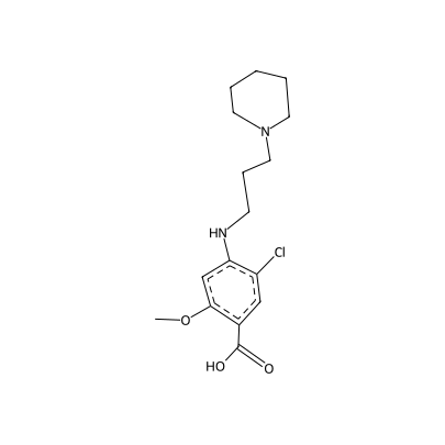 COc1cc(NCCCN2CCCCC2)c(Cl)cc1C(=O)O